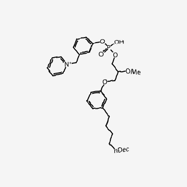 CCCCCCCCCCCCCCc1cccc(OCC(COP(=O)(O)Oc2cccc(C[n+]3ccccc3)c2)OC)c1